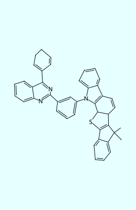 CC1(C)C2=C(SC3c4c(c5ccccc5n4-c4cccc(-c5nc(C6=CCCC=C6)c6ccccc6n5)c4)C=CC23)c2ccccc21